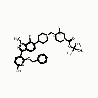 Cn1nc(-c2ccc(O)nc2OCc2ccccc2)c2ccc(C3CCN(C[C@@H]4CCN(C(=O)OC(C)(C)C)C[C@@H]4F)CC3)c(F)c21